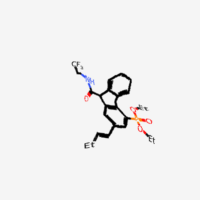 CCC=Cc1cc2c(c(P(=O)(OCC)OCC)c1)-c1ccccc1C2C(=O)NCC(F)(F)F